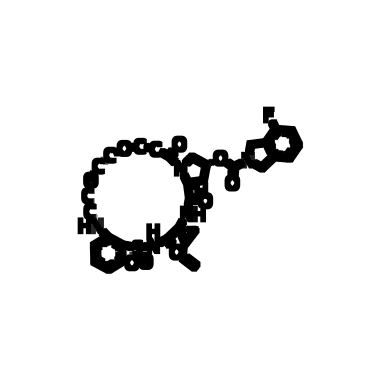 C=C[C@@H]1C[C@@]12NC(=O)[C@@H]1C[C@@H](OC(=O)N3Cc4cccc(F)c4C3)CN1C(=O)CCOCCOCCNc1ccccc1S(=O)(=O)NC2=O